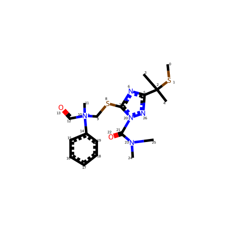 CSC(C)(C)c1nc(SC[N+](C)(C=O)c2ccccc2)n(C(=O)N(C)C)n1